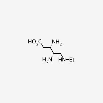 CCNC[C@H](N)[C@@H](N)CC(=O)O